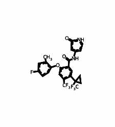 Cc1cc(F)ccc1Oc1cc(C(F)(F)F)c(C2(C(F)(F)F)CC2)cc1C(=O)Nc1cc[nH]c(=O)c1